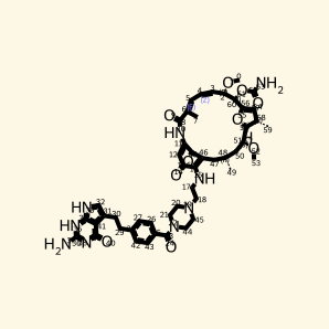 CO[C@H]1/C=C\C=C(/C)C(=O)NC2=CC(=O)C(NCCN3CCN(C(=O)c4ccc(CCc5c[nH]c6[nH]c(N)nc(=O)c56)cc4)CC3)=C(C[C@@H](C)C[C@H](OC)[C@H]3OC(=C[C@@H]3C)[C@@H]1OC(N)=O)C2=O